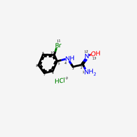 Cl.NC(CNc1ccccc1Br)=NO